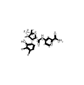 C[C@@H]1[C@@H](c2ccc(F)c(F)c2O)[C@@H](C(=O)Nc2ccnc(C(N)=O)c2)O[C@@]1(C)C(F)(F)F